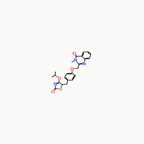 CC(C)OC1=NC(=O)SC1Cc1ccc(OCc2nc3ccccc3c(=O)n2C)cc1